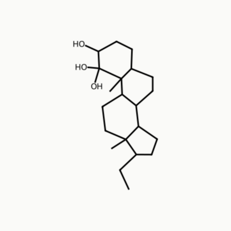 CCC1CCC2C3CCC4CCC(O)C(O)(O)C4(C)C3CCC12C